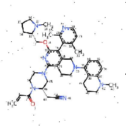 C=CC(=O)N1CCN(c2nc(OC[C@@H]3CCCN3C)c(-c3c(C)ccnc3C)c3c2CCN(c2cccc4c2CCCN4C)C3)C[C@@H]1CC#N